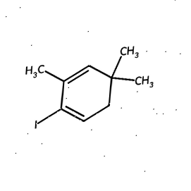 CC1=CC(C)(C)CC=C1I